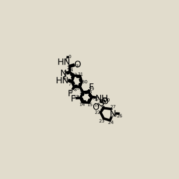 CNC(=O)c1n[nH]c2c(F)c(-c3c(F)ccc(NS(=O)(=O)C4CCCN(C)C4)c3F)ccc12